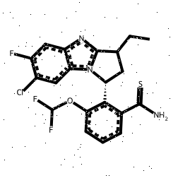 CCC1C[C@H](c2c(OC(F)F)cccc2C(N)=S)n2c1nc1cc(F)c(Cl)cc12